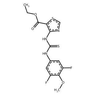 CCOC(=O)c1scnc1NC(=S)Nc1cc(F)c(OC)c(F)c1